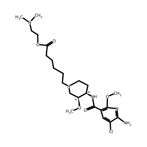 COc1nc(N)c(Cl)cc1C(=O)N[C@@H]1CCN(CCCCCC(=O)OCCN(C)C)C[C@@H]1OC